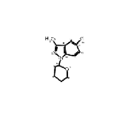 Cc1nn(C2CCCCO2)c2ccc(Cl)cc12